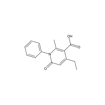 CCc1cc(=O)n(-c2ccccc2)c(C)c1C(=O)O